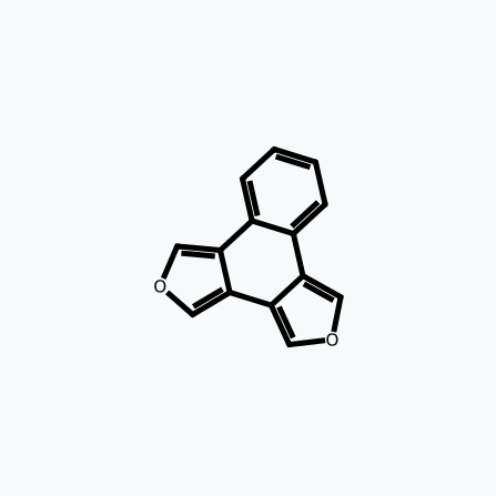 c1ccc2c(c1)c1cocc1c1cocc21